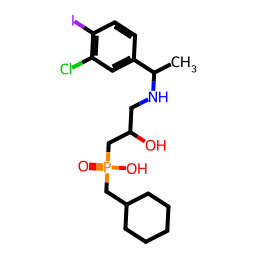 CC(NCC(O)CP(=O)(O)CC1CCCCC1)c1ccc(I)c(Cl)c1